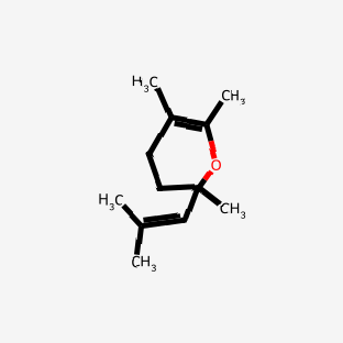 CC(C)=CC1(C)CCC(C)=C(C)O1